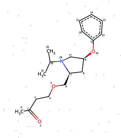 CC(=O)CCOC[C@@H]1C[C@H](Oc2ccccc2)CN1C(C)C